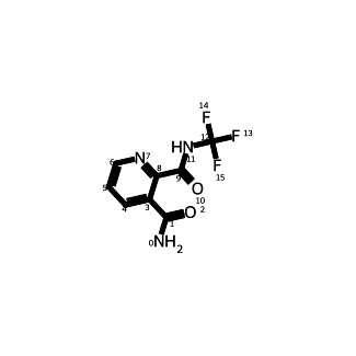 NC(=O)c1cccnc1C(=O)NC(F)(F)F